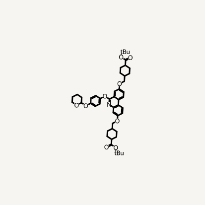 CC(C)(C)OC(=O)C1CCC(COc2ccc3c(c2)nc(Oc2ccc(OC4CCCCO4)cc2)c2cc(OCC4CCC(C(=O)OC(C)(C)C)CC4)ccc23)CC1